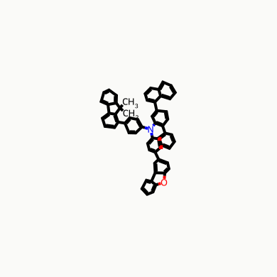 CC1(C)c2ccccc2-c2cccc(-c3ccc(N(c4ccc(-c5ccc6oc7ccccc7c6c5)cc4)c4cc(-c5cccc6ccccc56)ccc4-c4ccccc4)cc3)c21